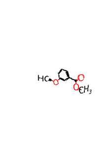 C#COc1cccc(C(=O)OC)c1